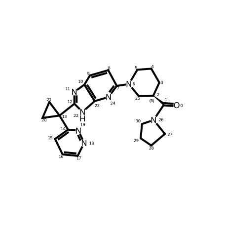 O=C([C@@H]1CCCN(c2ccc3nc(C4(c5cccnn5)CC4)[nH]c3n2)C1)N1CCCC1